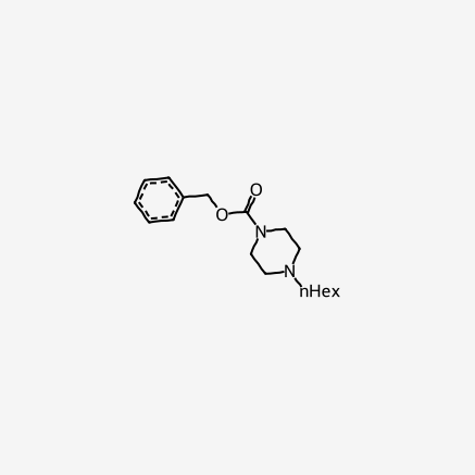 [CH2]CCCCCN1CCN(C(=O)OCc2ccccc2)CC1